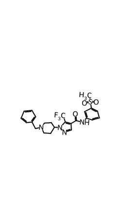 CS(=O)(=O)c1cccc(NC(=O)c2cnn(C3CCN(Cc4ccccc4)CC3)c2C(F)(F)F)c1